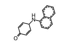 O=C1C=CC(Nc2cccc3ccccc23)C=C1